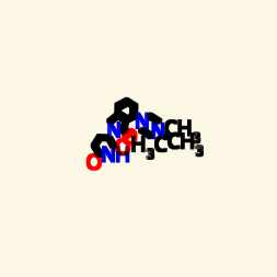 CC(C)(C)N1CCN(c2cccc3c2C(=O)N(C2CCC(=O)NC2=O)C3)CC1